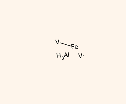 [AlH3].[V].[V][Fe]